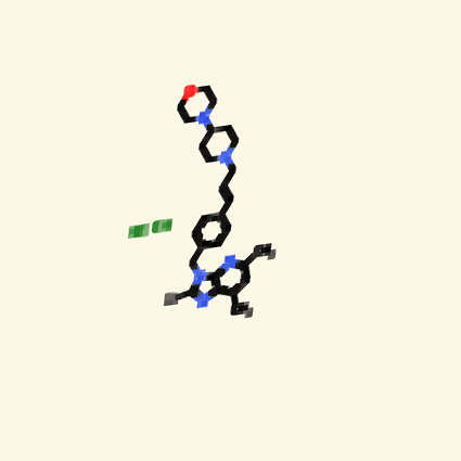 CCc1nc2c(C)cc(C)nc2n1Cc1ccc(/C=C/CN2CCC(N3CCOCC3)CC2)cc1.Cl.Cl